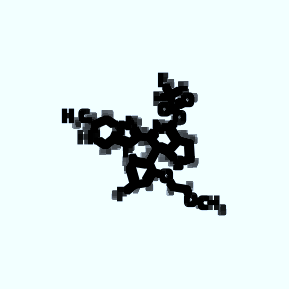 COCCOc1cc(F)cc(F)c1-c1c(-c2cc3n(n2)C[C@@H](C)NC3)nc(OS(=O)(=O)C(F)(F)F)c2ccsc12